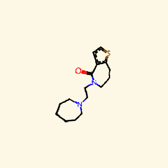 O=C1c2ccsc2CCCN1CCN1CCCCCC1